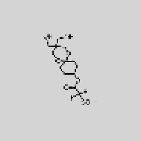 O=C(OC1CCC2(CC1)OCC(CO)(CO)CO2)C(F)(F)S(=O)(=O)O